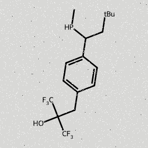 CPC(CC(C)(C)C)c1ccc(CC(O)(C(F)(F)F)C(F)(F)F)cc1